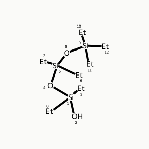 CC[Si](O)(CC)O[Si](CC)(CC)O[Si](CC)(CC)CC